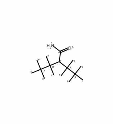 CC(C)(C)C(C)(C)C(C(N)=O)C(C)(C)C(C)(C)C